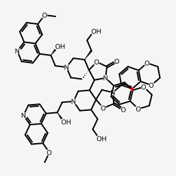 COc1ccc2nccc([C@H](O)CN3CC(CCO)C4(CN(c5ccc6c(c5)OCCO6)C(=O)O4)C(C4N(c5ccc6c(c5)OCCO6)C(=O)O[C@@]45CCN(C[C@H](O)c4ccnc6ccc(OC)cc46)C[C@H]5CCO)C3)c2c1